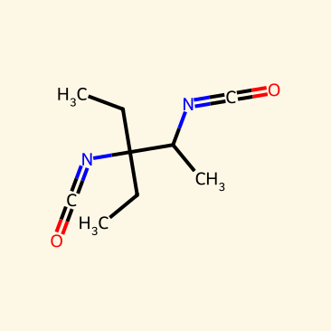 CCC(CC)(N=C=O)C(C)N=C=O